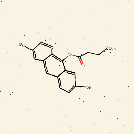 CC(C)(C)c1ccc2c(OC(=O)CCC(=O)O)c3cc(C(C)(C)C)ccc3cc2c1